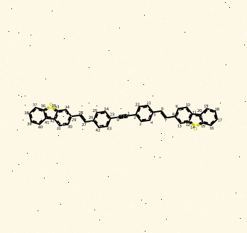 C(#Cc1ccc(/C=C/c2ccc3c(c2)sc2ccccc23)cc1)c1ccc(/C=C/c2ccc3c(c2)sc2ccccc23)cc1